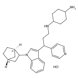 Cl.NC1CCC(NCCC(c2ccncc2)c2cn(C3C[C@@H]4CC[C@@H]3C4)c3ccccc23)CC1